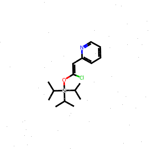 CC(C)[Si](OC(Cl)=Cc1ccccn1)(C(C)C)C(C)C